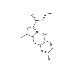 C/C=C/C(=O)c1cc(C)n(Cc2cc(F)ccc2O)n1